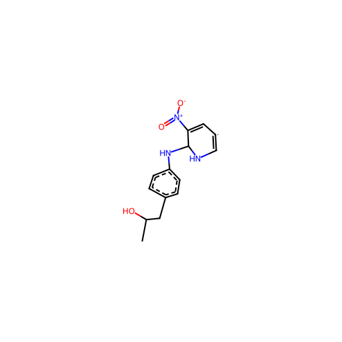 CC(O)Cc1ccc(NC2NC=[C]C=C2[N+](=O)[O-])cc1